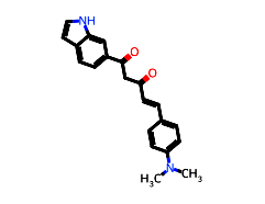 CN(C)c1ccc(/C=C/C(=O)CC(=O)c2ccc3cc[nH]c3c2)cc1